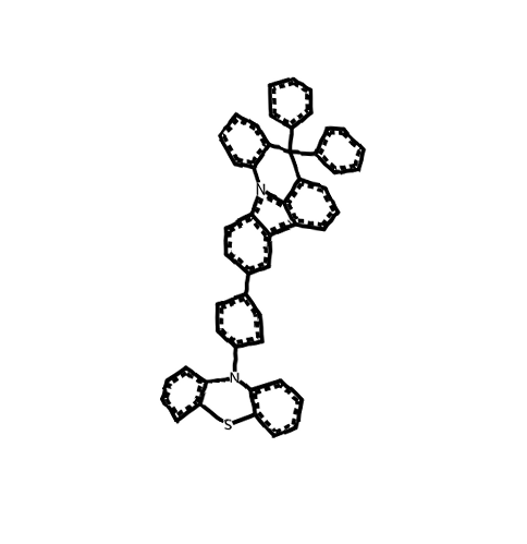 c1ccc(C2(c3ccccc3)c3ccccc3-n3c4ccc(-c5ccc(N6c7ccccc7Sc7ccccc76)cc5)cc4c4cccc2c43)cc1